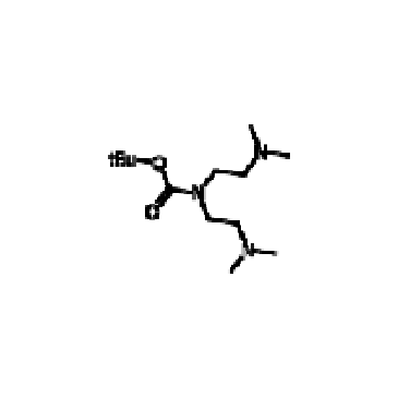 CN(C)CCN(CCN(C)C)C(=O)OC(C)(C)C